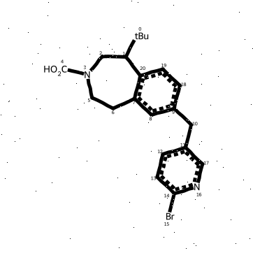 CC(C)(C)C1CN(C(=O)O)CCc2cc(Cc3ccc(Br)nc3)ccc21